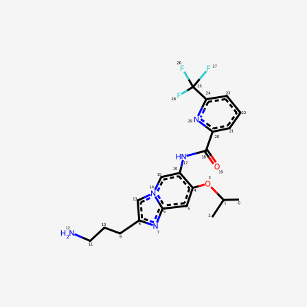 CC(C)Oc1cc2nc(CCCN)cn2cc1NC(=O)c1cccc(C(F)(F)F)n1